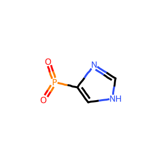 O=P(=O)c1c[nH]cn1